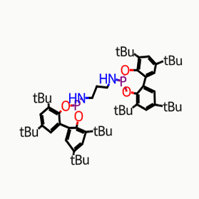 CC(C)(C)c1cc(C(C)(C)C)c2op(NCCCNp3oc4c(C(C)(C)C)cc(C(C)(C)C)cc4c4cc(C(C)(C)C)cc(C(C)(C)C)c4o3)oc3c(C(C)(C)C)cc(C(C)(C)C)cc3c2c1